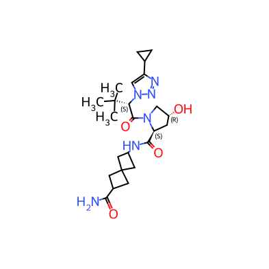 CC(C)(C)[C@@H](C(=O)N1C[C@H](O)C[C@H]1C(=O)NC1CC2(C1)CC(C(N)=O)C2)n1cc(C2CC2)nn1